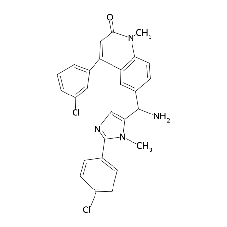 Cn1c(C(N)c2ccc3c(c2)c(-c2cccc(Cl)c2)cc(=O)n3C)cnc1-c1ccc(Cl)cc1